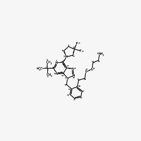 CC(C)(C)c1nc(N2CCC(F)(F)C2)c2nnn(Cc3ccccc3CCSSCCN)c2n1